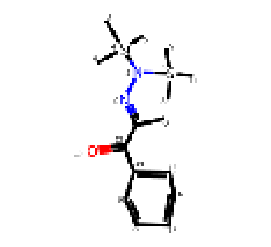 C/C(=N\N([Si](C)(C)C)[Si](C)(C)C)C(=O)c1ccccc1